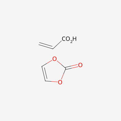 C=CC(=O)O.O=c1occo1